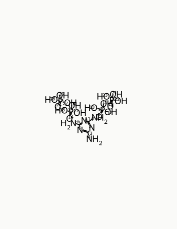 Nc1nc(N)nc(N)n1.O=P(O)(O)O.O=P(O)(O)O.O=P(O)(O)O.O=P(O)(O)O